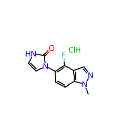 Cl.Cn1ncc2c(F)c(-n3cc[nH]c3=O)ccc21